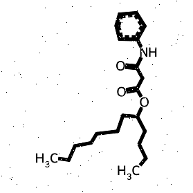 CCCCCCCC(CCCC)OC(=O)CC(=O)Nc1ccccc1